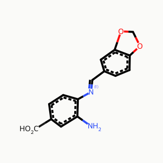 Nc1cc(C(=O)O)ccc1/N=C/c1ccc2c(c1)OCO2